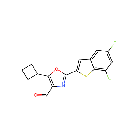 O=Cc1nc(-c2cc3cc(F)cc(F)c3s2)oc1C1CCC1